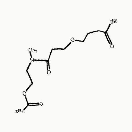 CN(CCOC(=O)C(C)(C)C)C(=O)CCOCCC(=O)C(C)(C)C